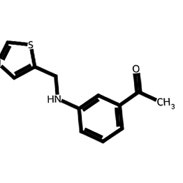 CC(=O)c1cccc(NCc2cncs2)c1